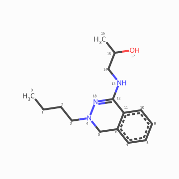 CCCCN1Cc2ccccc2C(NCC(C)O)=N1